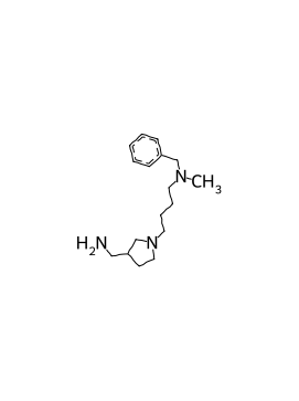 CN(CCCCN1CCC(CN)C1)Cc1ccccc1